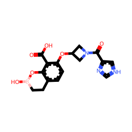 O=C(O)c1c(OC2CN(C(=O)c3c[nH]cn3)C2)ccc2c1OB(O)CC2